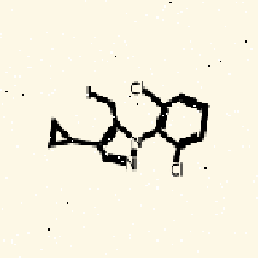 Clc1cccc(Cl)c1-n1ncc(C2CC2)c1CI